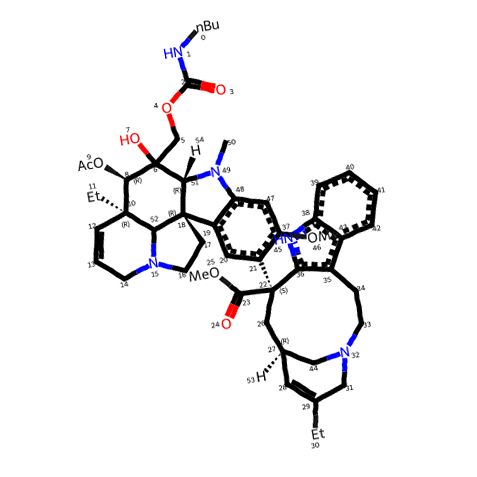 CCCCNC(=O)OCC1(O)[C@H](OC(C)=O)[C@]2(CC)C=CCN3CC[C@@]4(c5cc([C@@]6(C(=O)OC)C[C@@H]7C=C(CC)CN(CCc8c6[nH]c6ccccc86)C7)c(OC)cc5N(C)[C@@H]14)C32